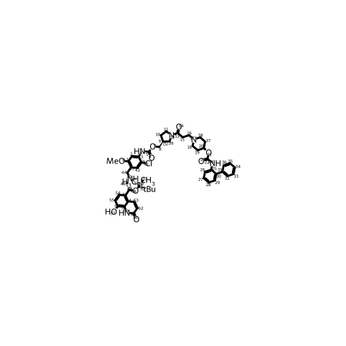 COc1cc(NC(=O)OC[C@H]2CCN(C(=O)CCN3CCC(OC(=O)Nc4ccccc4-c4ccccc4)CC3)C2)c(Cl)cc1CNC[C@H](O[Si](C)(C)C(C)(C)C)c1ccc(O)c2[nH]c(=O)ccc12